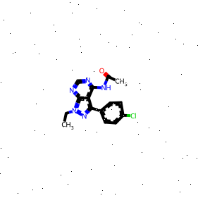 CCn1nc(-c2ccc(Cl)cc2)c2c(NC(C)=O)ncnc21